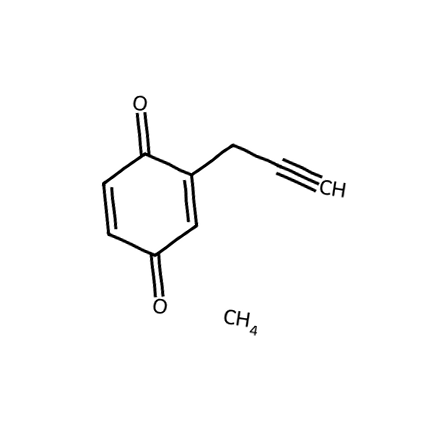 C.C#CCC1=CC(=O)C=CC1=O